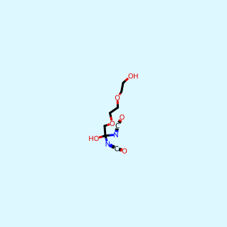 O=C=NC(O)(COCCOCCO)N=C=O